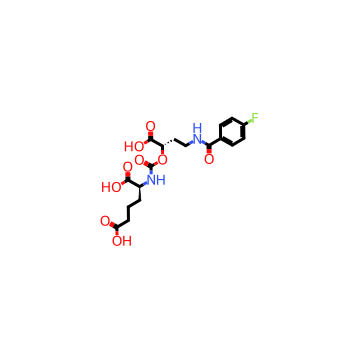 O=C(O)CCC[C@H](NC(=O)O[C@@H](CCNC(=O)c1ccc(F)cc1)C(=O)O)C(=O)O